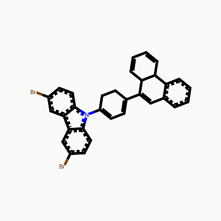 Brc1ccc2c(c1)c1cc(Br)ccc1n2C1=CC=C(C2=Cc3ccccc3C3C=CC=CC23)CC1